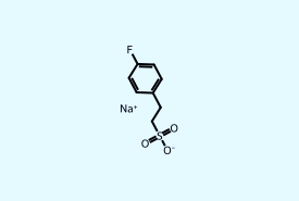 O=S(=O)([O-])CCc1ccc(F)cc1.[Na+]